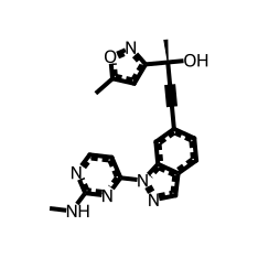 CNc1nccc(-n2ncc3ccc(C#C[C@@](C)(O)c4cc(C)on4)cc32)n1